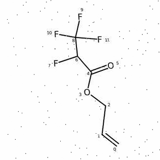 C=CCOC(=O)C(F)C(F)(F)F